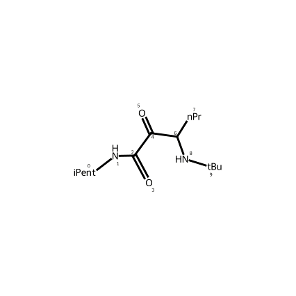 CCCC(C)NC(=O)C(=O)C(CCC)NC(C)(C)C